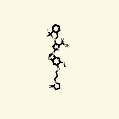 COc1cc2c(cc1OCCCN1CCCC1=O)ncn2-c1cc(OCc2ccccc2C(F)(F)F)c(C(=O)O)s1